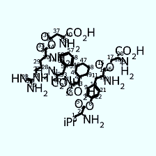 CC(C)C[C@H](N)C(=O)Oc1ccc(C[C@H](N)C(=O)OC[C@@H](N)C(=O)O)cc1.N=C(N)NCCC[C@@H](N)C(=O)OC(=O)C[C@@H](N)C(=O)O.N[C@@H](CC1CCCCC1)C(=O)O.N[C@@H](Cc1ccccc1)C(=O)O